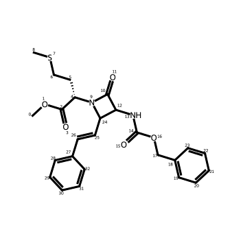 COC(=O)[C@H](CCSC)N1C(=O)C(NC(=O)OCc2ccccc2)C1C=Cc1ccccc1